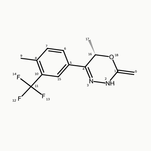 C=C1NN=C(c2ccc(C)c(C(F)(F)F)c2)[C@H](C)O1